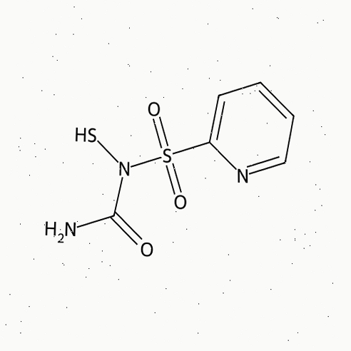 NC(=O)N(S)S(=O)(=O)c1ccccn1